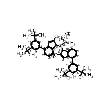 CC1=Cc2c(-c3cc(C(C)(C)C)cc(C(C)(C)C)c3)cccc2[CH]1[Zr+2]([CH]1C(C)=Cc2c(-c3cc(C(C)(C)C)cc(C(C)(C)C)c3)cccc21)[SiH](C)C.[Cl-].[Cl-]